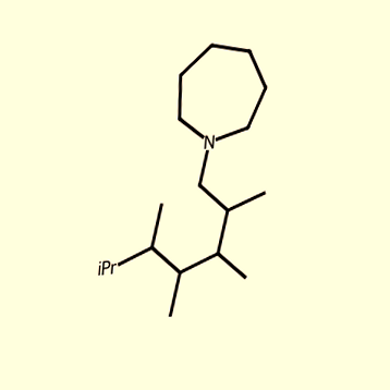 CC(C)C(C)C(C)C(C)C(C)CN1CCCCCC1